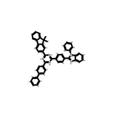 CC1(C)c2ccccc2-c2ccc(-c3nc(-c4ccc(-c5ccccc5)cc4)nc(-c4ccc(-c5nc6ccccc6n5-c5ccccc5)cc4)n3)cc21